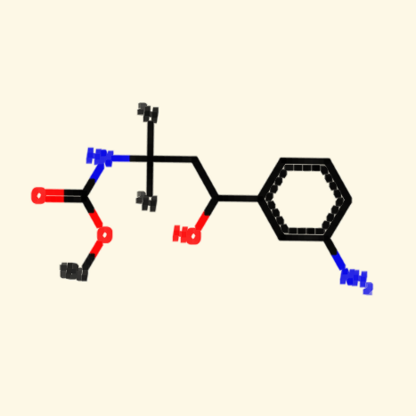 [2H]C([2H])(CC(O)c1cccc(N)c1)NC(=O)OC(C)(C)C